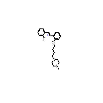 CN1CCN(CCCCOc2ccccc2/C=C/c2ccccc2F)CC1